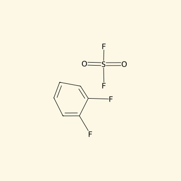 Fc1ccccc1F.O=S(=O)(F)F